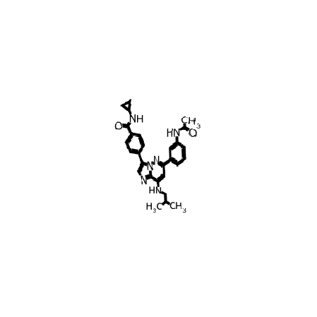 CC(=O)Nc1cccc(-c2cc(NCC(C)C)c3ncc(-c4ccc(C(=O)NC5CC5)cc4)n3n2)c1